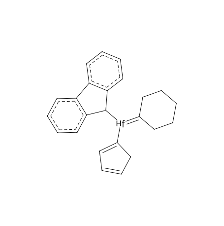 C1=CC[C]([Hf](=[C]2CCCCC2)[CH]2c3ccccc3-c3ccccc32)=C1